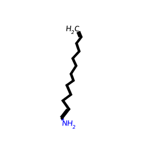 C=CCCCCCCCCCC=CN